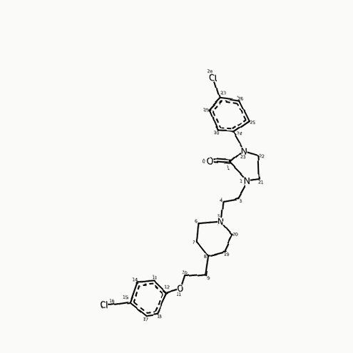 O=C1N(CCN2CCC(CCOc3ccc(Cl)cc3)CC2)CCN1c1ccc(Cl)cc1